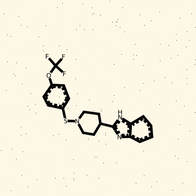 FC(F)(F)Oc1ccc(SN2CCC(c3nc4ccccc4[nH]3)CC2)cc1